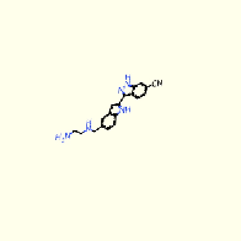 N#Cc1ccc2c(-c3cc4cc(CNCCN)ccc4[nH]3)n[nH]c2c1